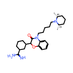 C[C@@H]1CCC[C@H](C)N1CCCCCN1C(=O)C(C2CCCC(C(=N)N)C2)Oc2ccccc21